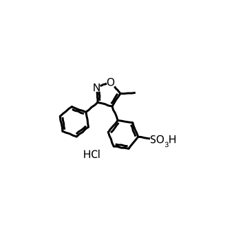 Cc1onc(-c2ccccc2)c1-c1cccc(S(=O)(=O)O)c1.Cl